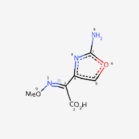 CO/N=C(\C(=O)O)c1coc(N)n1